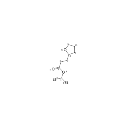 CCC(CC)OC(=O)CCC1CCCO1